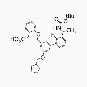 CC(NC(=O)OC(C)(C)C)c1cccc(-c2cc(COc3ccccc3CC(=O)O)cc(OCC3CCCC3)c2)c1F